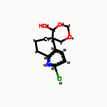 OC1OCOCC12CCCc1nc(Cl)ccc12